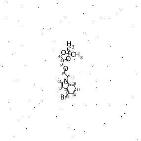 CC1(C)OCC(COCCn2ccc3c(Br)cccc32)O1